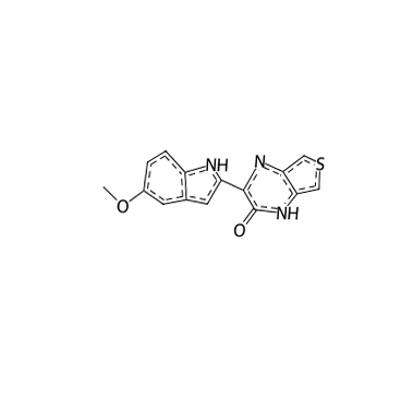 COc1ccc2[nH]c(-c3nc4cscc4[nH]c3=O)cc2c1